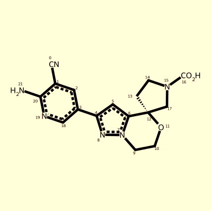 N#Cc1cc(-c2cc3n(n2)CCO[C@@]32CCN(C(=O)O)C2)cnc1N